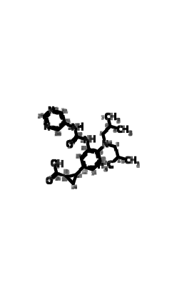 CC(C)CN(CC(C)C)c1ccc(C2C[C@H]2C(=O)O)cc1NC(=O)Nc1cncnc1